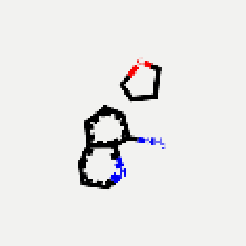 C1CCOC1.Nc1cccc2cccnc12